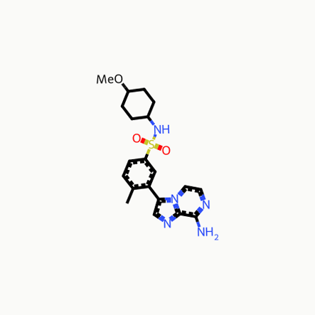 COC1CCC(NS(=O)(=O)c2ccc(C)c(-c3cnc4c(N)nccn34)c2)CC1